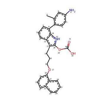 Cc1cc(N)ccc1-c1cccc2c(CCCOc3cccc4ccccc34)c(OC(=O)O)[nH]c12